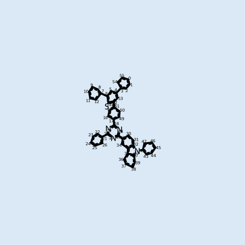 c1ccc(-c2cc(-c3ccccc3)c3sc4cc(-c5nc(-c6ccccc6)nc(-c6ccc7c(c6)c6ccccc6n7-c6ccccc6)n5)ccc4c3c2)cc1